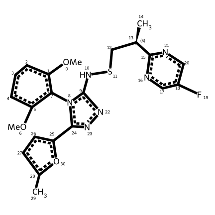 COc1cccc(OC)c1-n1c(NSC[C@@H](C)c2ncc(F)cn2)nnc1-c1ccc(C)o1